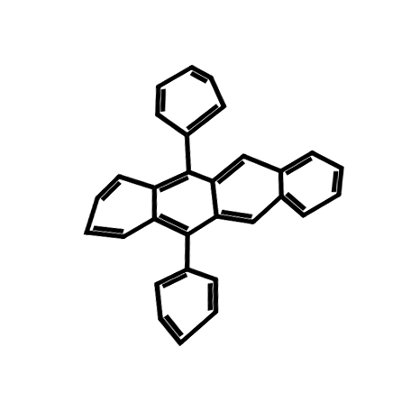 c1ccc(-c2c3ccccc3c(-c3ccccc3)c3cc4ccccc4cc23)cc1